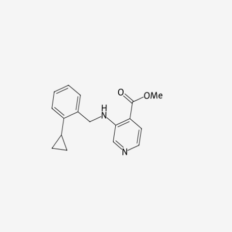 COC(=O)c1ccncc1NCc1ccccc1C1CC1